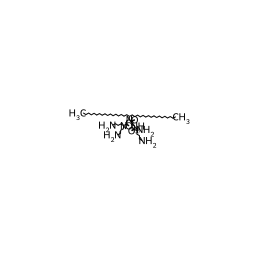 CCCCCCCCCCCCCCCCCC(CCCCCCCCCCCCCCCCC)N(CC(=O)N(CCCN)CCCN)C(=O)CNC(=O)[C@@H](N)CCCN